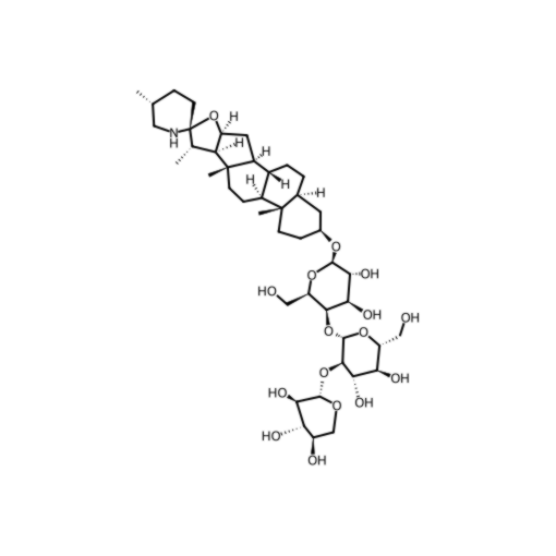 C[C@@H]1CC[C@@]2(NC1)O[C@H]1C[C@H]3[C@@H]4CC[C@H]5C[C@@H](O[C@@H]6O[C@H](CO)[C@H](O[C@@H]7O[C@H](CO)[C@@H](O)[C@H](O)[C@H]7O[C@@H]7OC[C@@H](O)[C@H](O)[C@H]7O)[C@H](O)[C@H]6O)CC[C@]5(C)[C@H]4CC[C@]3(C)[C@H]1[C@@H]2C